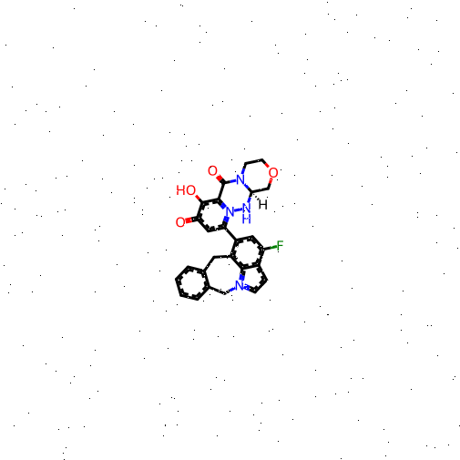 O=C1c2c(O)c(=O)cc(-c3cc(F)c4ccn5c4c3Cc3ccccc3C5)n2N[C@@H]2COCCN12